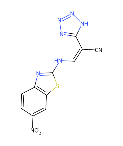 N#CC(=CNc1nc2ccc([N+](=O)[O-])cc2s1)c1nnn[nH]1